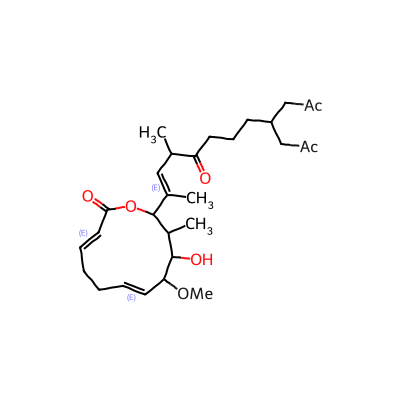 COC1/C=C/CC/C=C/C(=O)OC(/C(C)=C/C(C)C(=O)CCCC(CC(C)=O)CC(C)=O)C(C)C1O